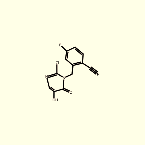 N#Cc1ccc(F)cc1Cn1c(Cl)ncc(O)c1=O